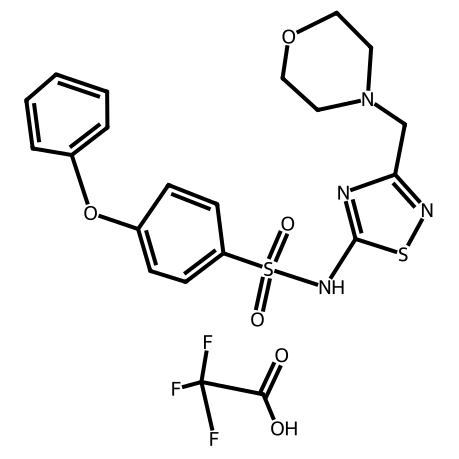 O=C(O)C(F)(F)F.O=S(=O)(Nc1nc(CN2CCOCC2)ns1)c1ccc(Oc2ccccc2)cc1